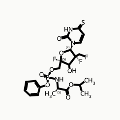 CC(C)OC(=O)[C@H](C)NP(=O)(OC[C@@]1(F)O[C@@H](n2ccc(=S)[nH]c2=O)[C@@](F)(CF)C1O)Oc1ccccc1